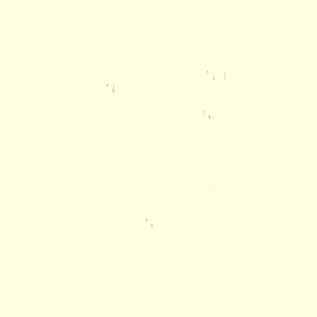 CN(C)C(=O)c1ccnc2c[nH]nc12